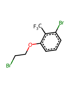 FC(F)(F)c1c(Br)cccc1OCCBr